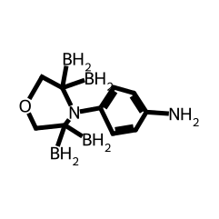 BC1(B)COCC(B)(B)N1c1ccc(N)cc1